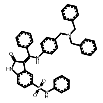 O=C1Nc2ccc(S(=O)(=O)Nc3ccccc3)cc2C1=C(Nc1ccc(CN(Cc2ccccc2)Cc2ccccc2)cc1)c1ccccc1